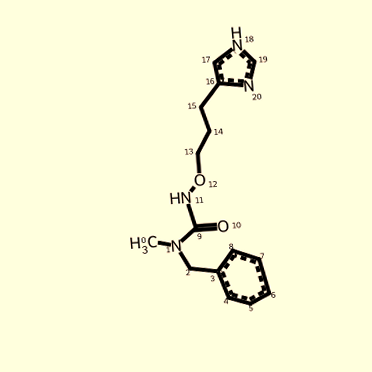 CN(Cc1ccccc1)C(=O)NOCCCc1c[nH]cn1